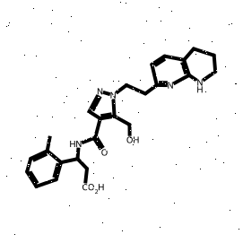 Cc1ccccc1C(CC(=O)O)NC(=O)c1cnn(CCc2ccc3c(n2)NCCC3)c1CO